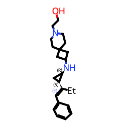 CC/C(=C\c1ccccc1)[C@@H]1C[C@H]1NC1CC2(CCN(CCO)CC2)C1